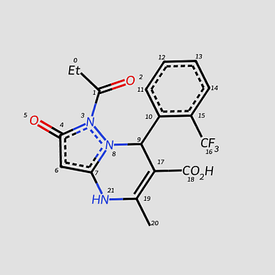 CCC(=O)n1c(=O)cc2n1C(c1ccccc1C(F)(F)F)C(C(=O)O)=C(C)N2